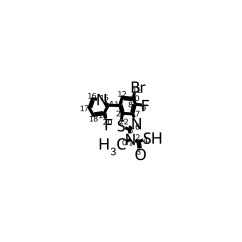 CN(C(=O)S)c1nc2c(F)c(Br)cc(-c3ncccc3F)c2s1